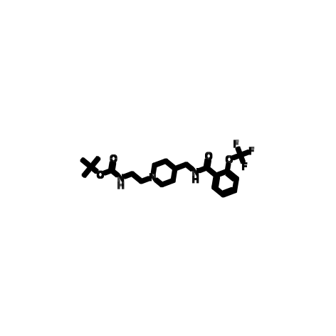 CC(C)(C)OC(=O)NCCN1CCC(CNC(=O)c2ccccc2OC(F)(F)F)CC1